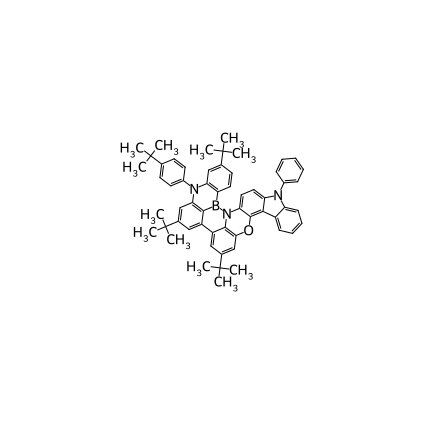 CC(C)(C)c1ccc(N2c3cc(C(C)(C)C)ccc3B3c4c(cc(C(C)(C)C)cc42)-c2cc(C(C)(C)C)cc4c2N3c2ccc3c(c2O4)c2ccccc2n3-c2ccccc2)cc1